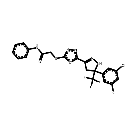 O=C(CSc1nnc(C2=NNC(c3cc(Cl)cc(Cl)c3)(C(F)(F)F)C2)o1)Nc1ccccc1